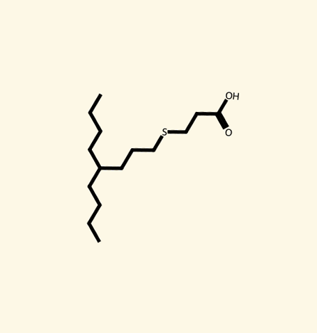 CCCCC(CCCC)CCCSCCC(=O)O